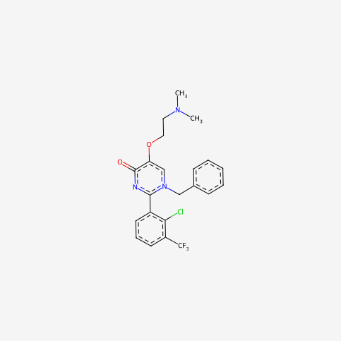 CN(C)CCOc1cn(Cc2ccccc2)c(-c2cccc(C(F)(F)F)c2Cl)nc1=O